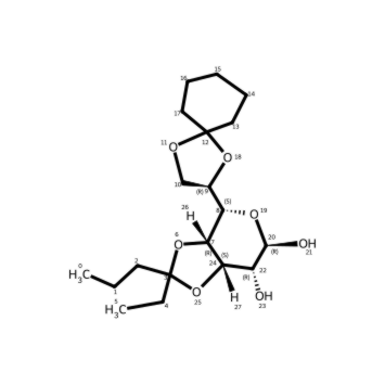 CCCC1(CC)O[C@@H]2[C@H]([C@H]3COC4(CCCCC4)O3)O[C@@H](O)[C@H](O)[C@@H]2O1